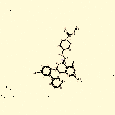 Cc1nc(N)nc2c1/C(=N/OC1CCN(C(=O)OC(C)(C)C)CC1)C[C@@H](c1ccc(F)cc1-c1cccnc1)C2